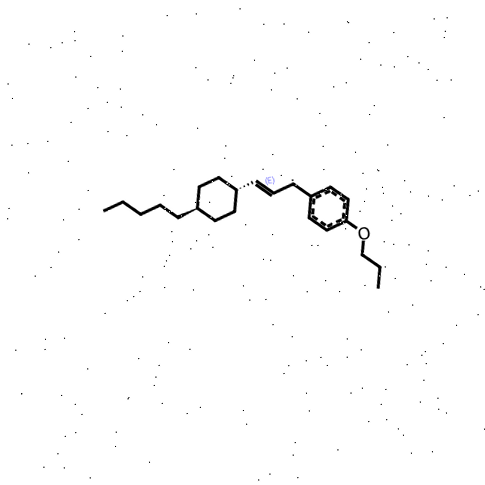 CCCCC[C@H]1CC[C@H](/C=C/[CH]c2ccc(OCCC)cc2)CC1